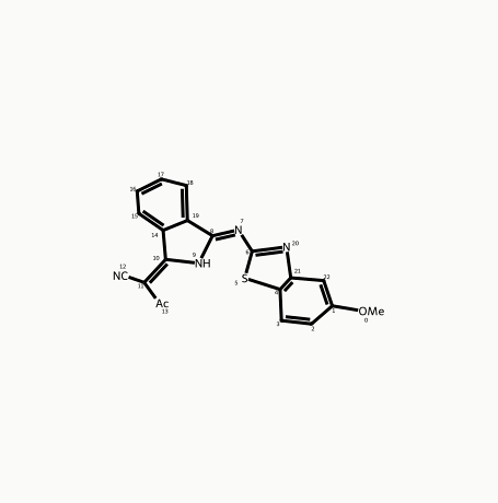 COc1ccc2sc(/N=C3\N/C(=C(/C#N)C(C)=O)c4ccccc43)nc2c1